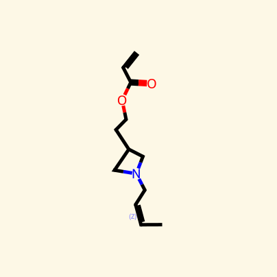 C=CC(=O)OCCC1CN(C/C=C\C)C1